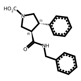 O=C(NCc1ccccc1)[C@H]1CN(C(=O)O)C[C@@H]1c1ccccc1